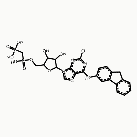 O=P(O)(O)CP(=O)(O)OCC1OC(n2cnc3c(Nc4ccc5c(c4)-c4ccccc4C5)nc(Cl)nc32)C(O)C1O